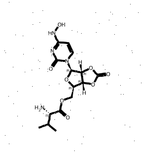 CC(C)[C@H](N)C(=O)OC[C@H]1O[C@@H](n2ccc(NO)nc2=O)[C@@H]2OC(=O)O[C@@H]21